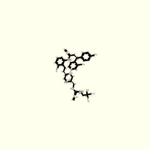 C=C=C(C[C@@H](c1ccc(F)cc1)c1ccncc1I)Nc1cccc(F)c1CC[C@@H]1CN[C@H](COC(=C=C)NCC(F)(F)I)CO1